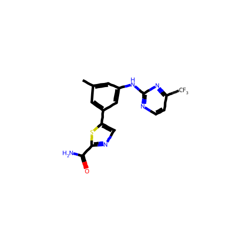 Cc1cc(Nc2nccc(C(F)(F)F)n2)cc(-c2cnc(C(N)=O)s2)c1